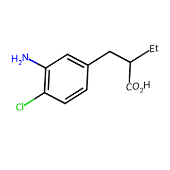 CCC(Cc1ccc(Cl)c(N)c1)C(=O)O